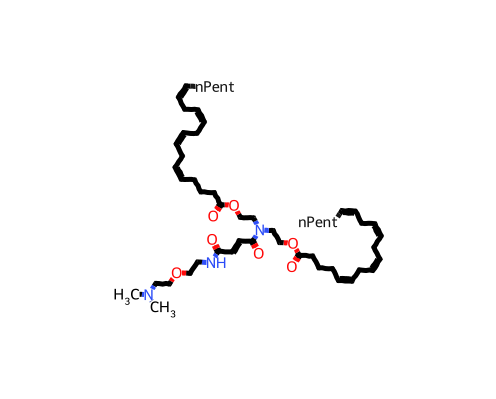 CCCCC/C=C\C/C=C\C/C=C\C/C=C\CCCC(=O)OCCN(CCOC(=O)CCC/C=C\C/C=C\C/C=C\C/C=C\CCCCC)C(=O)C=CC(=O)NCCOCCN(C)C